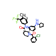 Cc1ccc(NC(=O)[C@H]2CCCN(C(=O)c3ccccc3Cl)[C@H]2c2ccc(NC3CCCC3)cc2)cc1C(F)(F)F